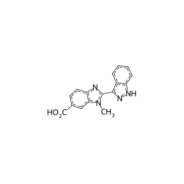 Cn1c(-c2n[nH]c3ccccc23)nc2ccc(C(=O)O)cc21